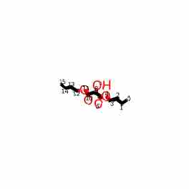 CCCCOC(=O)C(O)C(=O)OCCCC